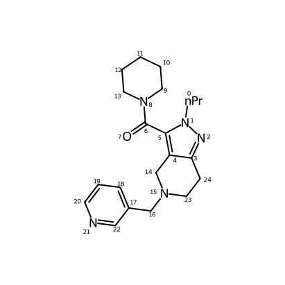 CCCn1nc2c(c1C(=O)N1CCCCC1)CN(Cc1cccnc1)CC2